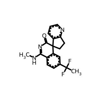 CNC1=NC(=O)C2(CCc3ncccc32)c2cc(C(C)(F)F)ccc21